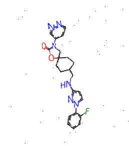 O=C1OC2(CCC(CNc3ccn(-c4ccccc4F)n3)CC2)CN1c1ccnnc1